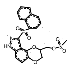 CS(=O)(=O)OCC1COc2ccc3[nH]nc(S(=O)(=O)c4cccc5ccccc45)c3c2O1